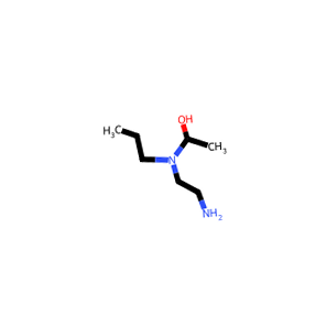 CCCN(CCN)C(C)O